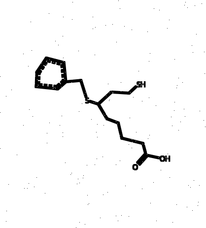 O=C(O)CCCCC(CCS)SCc1ccccc1